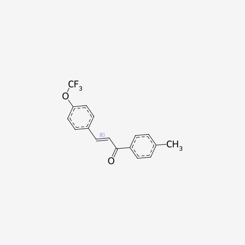 Cc1ccc(C(=O)/C=C/c2ccc(OC(F)(F)F)cc2)cc1